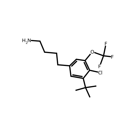 CC(C)(C)c1cc(CCCCN)cc(OC(F)(F)F)c1Cl